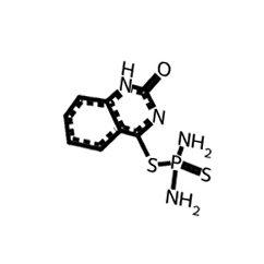 NP(N)(=S)Sc1nc(=O)[nH]c2ccccc12